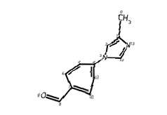 Cc1cn(-c2ccc(C=O)cc2)cn1